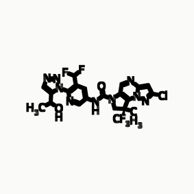 CC(O)c1cnnn1-c1ncc(NC(=O)N2C[C@@](C)(C(F)(F)F)c3c2cnc2cc(Cl)nn32)cc1C(F)F